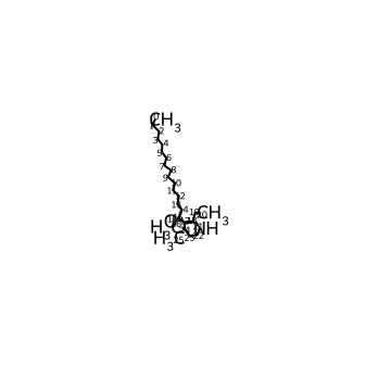 CCCCCCCCCCCCCCCC(=O)C1=C(CC)NCCC1(C)C